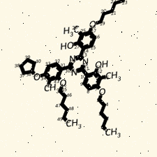 CCCCCCOc1ccc(-c2nc(-c3ccc(OCCCCCC)c(C)c3O)nc(-c3ccc(OC4CCCC4)c(C)c3OCCCCCC)n2)c(O)c1C